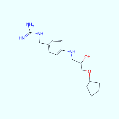 N=C(N)NCc1ccc(NCC(O)COC2CCCC2)cc1